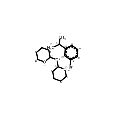 C1CCC(OC2CCCCO2)OC1.CC(C)c1cccc(Br)c1